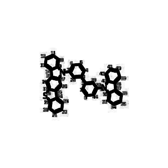 c1cc(-c2cccc(-n3c4ccccc4c4cc5sc6ccccc6c5cc43)c2)cc(-n2c3ccccc3c3ccccc32)c1